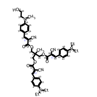 CCN(CC)c1ccc(/C=C(\C#N)C(=O)OCC(C)(COC(=O)/C(C#N)=C/c2ccc(N(C)CCO)cc2)COC(=O)/C(C#N)=C/c2ccc(N(CC)CC)cc2)cc1